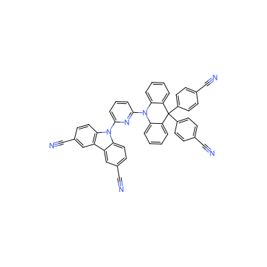 N#Cc1ccc(C2(c3ccc(C#N)cc3)c3ccccc3N(c3cccc(-n4c5ccc(C#N)cc5c5cc(C#N)ccc54)n3)c3ccccc32)cc1